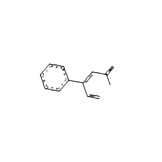 N=C/C(=C\C(=N)Cl)c1ccccc1